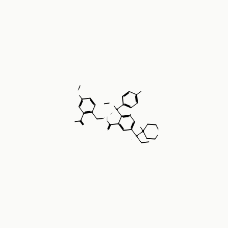 CC[C@@](O)(c1cc(F)c([C@](C)(OC)c2ccc(Cl)cc2)c(C(=O)NCc2ccc(OC)cc2C(=O)O)c1)C1(F)CCOCC1